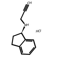 C#CCN[C@@H]1CCc2ccccc21.Cl